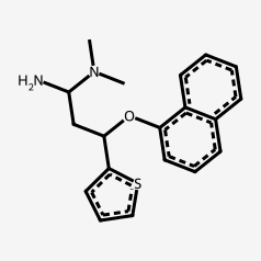 CN(C)C(N)CC(Oc1cccc2ccccc12)c1cccs1